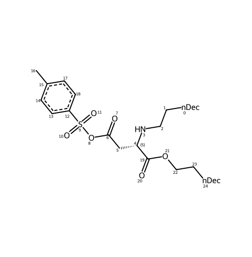 CCCCCCCCCCCCN[C@@H](CC(=O)OS(=O)(=O)c1ccc(C)cc1)C(=O)OCCCCCCCCCCCC